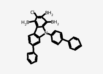 Bc1c(Cl)c(B)c2c3ccc(-c4ccccc4)cc3n(-c3ccc(-c4ccccc4)cc3)c2c1B